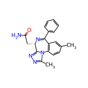 Cc1ccc2c(c1)C(c1ccccc1)=N[C@@H](CC(N)=O)c1nnc(C)n1-2